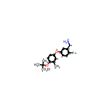 CCOC(=O)C(C)(C)Oc1ccc(Oc2ccc(F)c(CN)c2)cc1C